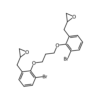 Brc1cccc(CC2CO2)c1OCCCOc1c(Br)cccc1CC1CO1